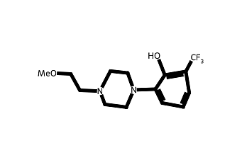 COCCN1CCN(c2cccc(C(F)(F)F)c2O)CC1